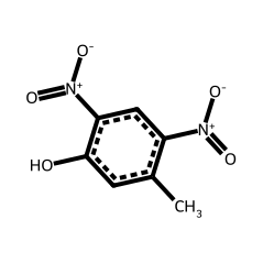 Cc1cc(O)c([N+](=O)[O-])cc1[N+](=O)[O-]